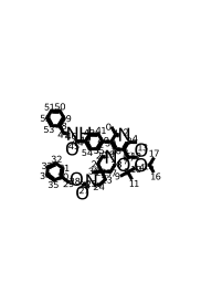 Cc1nc(C)c([C@H](OC(C)(C)C)C(=O)OC(C)C)c(N2CCC3(CCN(C(=O)OCc4ccccc4)C3)CC2)c1-c1ccc(C(=O)NCc2ccccc2)cc1